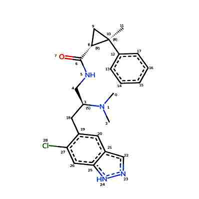 CN(C)[C@H](CNC(=O)[C@@H]1C[C@@]1(C)c1ccccc1)Cc1cc2cn[nH]c2cc1Cl